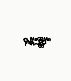 COC1(OC)CC(CCCN2CCN(c3ccccc3F)CC2)S(=O)(=O)c2ccccc21